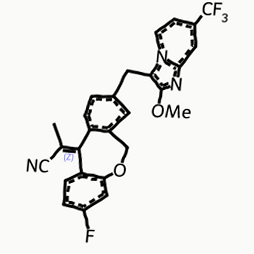 COc1nc2cc(C(F)(F)F)ccn2c1Cc1ccc2c(c1)COc1cc(F)ccc1/C2=C(/C)C#N